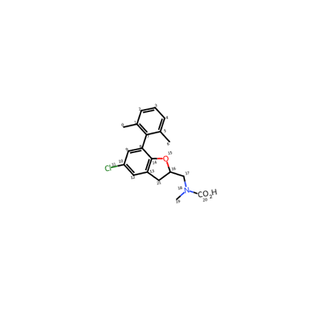 Cc1cccc(C)c1-c1cc(Cl)cc2c1OC(CN(C)C(=O)O)C2